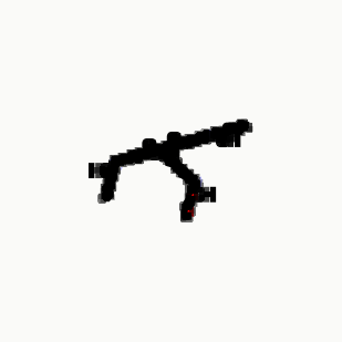 CCCCCCC(O)C/C=C\CCCCCCCC(=O)OCC(COC(=O)CCCCCCC/C=C/CC(O)CCCCCC)OC(=O)CCCCCCC/C=C\CC(O)CCCCCC